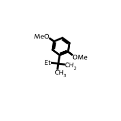 CCC(C)(C)c1cc(OC)ccc1OC